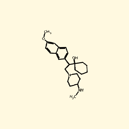 CNC1CCN(CC(c2ccc3cc(OC)ccc3c2)C2(O)CCCCC2)CC1